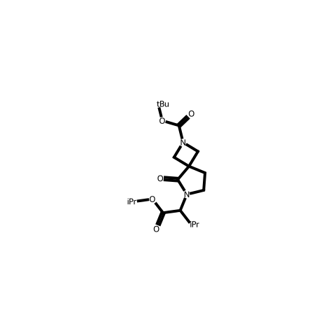 CC(C)OC(=O)C(C(C)C)N1CCC2(CN(C(=O)OC(C)(C)C)C2)C1=O